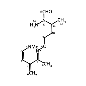 C=C(/C=C\NC)C(C)=NOCCC(C)N(N)C=O